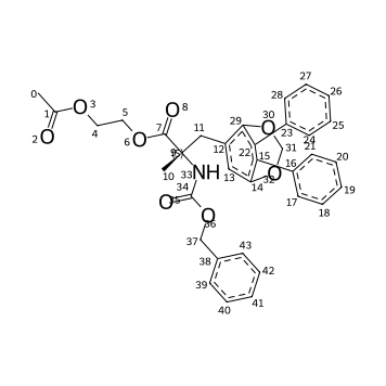 CC(=O)OCCOC(=O)[C@](C)(Cc1cc2c(-c3ccccc3)c(-c3ccccc3)c1OCO2)NC(=O)OCc1ccccc1